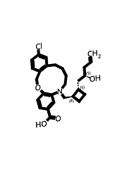 C=CC[C@H](O)C[C@@H]1CC[C@H]1CN1CCCCc2cc(Cl)ccc2COc2ccc(C(=O)O)cc21